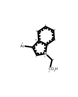 CC(=O)c1cn(CC(=O)O)c2ccc[c]c12